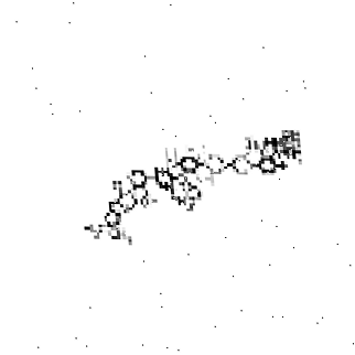 C=CC(=O)Nc1cc(Nc2nc(-c3ccnc(N4CCn5c(cc6c5CC(C)(C)C6)C4=O)c3CO)cn(C)c2=O)ccc1N1CCN(C2CCN(c3ccc(F)c(C(C)(C)NP(=O)(O)O)c3)[C@H](C)C2)C[C@@H]1C